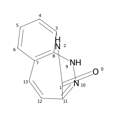 O=C1Nc2cccc3c2NN=C1C=C3